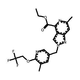 CCOC(=O)c1nc(C)cc2nn(Cc3cnc(OCC(F)(F)F)c(C)c3)cc12